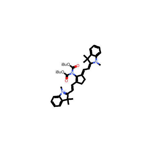 CC(C)COC(=O)N(C(=O)OCC(C)C)C1=C(/C=C/C2=[N+](C)c3ccccc3C2(C)C)CC/C1=C\C=C1\N(C)c2ccccc2C1(C)C